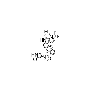 CC(Nc1ccc2c(c1)Sc1cccc(C3CN(c4cc[nH]c(=O)c4)CCO3)c1S2)c1nccc(C(F)F)n1